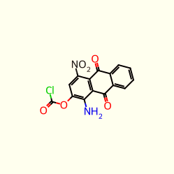 Nc1c(OC(=O)Cl)cc([N+](=O)[O-])c2c1C(=O)c1ccccc1C2=O